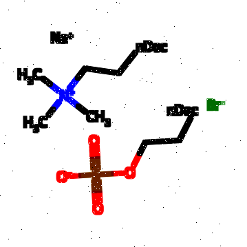 CCCCCCCCCCCCOS(=O)(=O)[O-].CCCCCCCCCCCC[N+](C)(C)C.[Br-].[Na+]